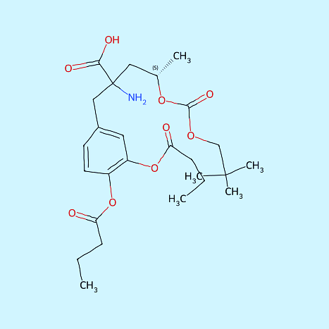 CCCC(=O)Oc1ccc(CC(N)(C[C@H](C)OC(=O)OCC(C)(C)C)C(=O)O)cc1OC(=O)CCC